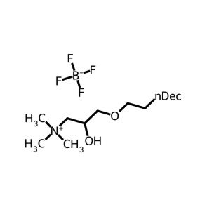 CCCCCCCCCCCCOCC(O)C[N+](C)(C)C.F[B-](F)(F)F